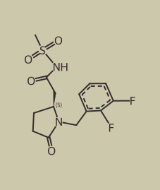 CS(=O)(=O)NC(=O)C[C@@H]1CCC(=O)N1Cc1cccc(F)c1F